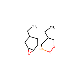 CCC1CCC2OC2C1.CCC1COOPC1